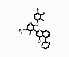 Cc1c(Oc2ncc(C(F)(F)F)c(C)c2-c2cc(=O)c3c(-c4cnccn4)cccc3[nH]2)ccc(F)c1F